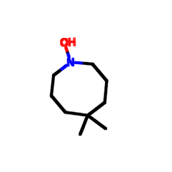 CC1(C)CCCN(O)CCC1